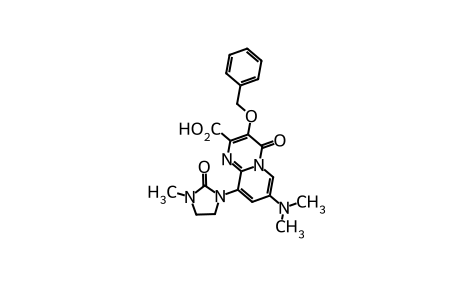 CN1CCN(c2cc(N(C)C)cn3c(=O)c(OCc4ccccc4)c(C(=O)O)nc23)C1=O